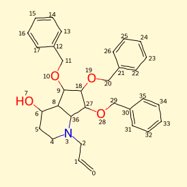 C=CCN1CCC(O)C2C(OCc3ccccc3)C(OCc3ccccc3)C(OCc3ccccc3)C21